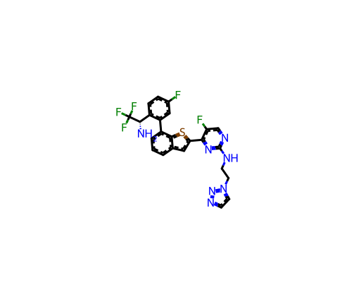 N[C@@H](c1ccc(F)cc1-c1cccc2cc(-c3nc(NCCn4ccnn4)ncc3F)sc12)C(F)(F)F